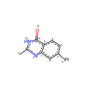 Cc1nc2cc(C(C)C)ccc2c(=O)[nH]1